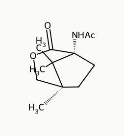 CC(=O)N[C@@]12CC[C@@](C)(COC1=O)C2(C)C